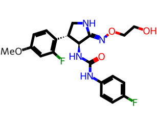 COc1ccc([C@@H]2CN/C(=N\OCCO)[C@H]2NC(=O)Nc2ccc(F)cc2)c(F)c1